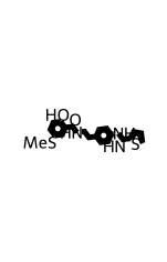 CSc1ccc(O)c(C(=O)NCCc2ccc(NC(=N)c3cccs3)cc2)c1